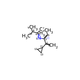 C=C(C(=C/C)/N=C(\C)C(C)C)C1CC1